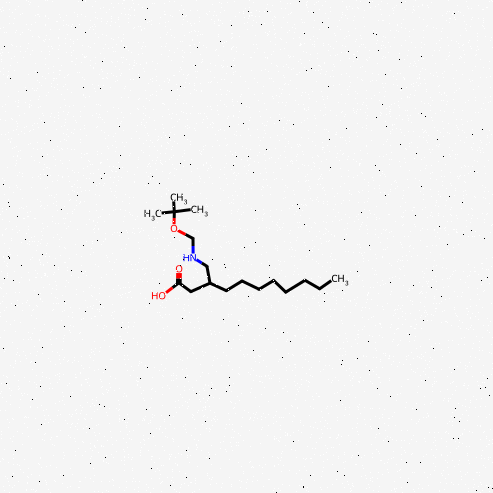 CCCCCCCCC(CNCOC(C)(C)C)CC(=O)O